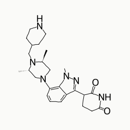 C[C@H]1CN(c2cccc3c(C4CCC(=O)NC4=O)nn(C)c23)C[C@H](C)N1CC1CCNCC1